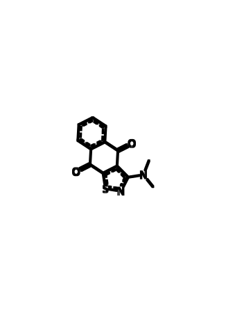 CN(C)c1nsc2c1C(=O)c1ccccc1C2=O